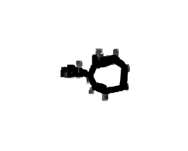 CCCCC1C=CC=CC=N1